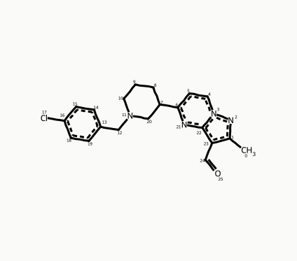 Cc1nn2ccc(C3CCCN(Cc4ccc(Cl)cc4)C3)nc2c1C=O